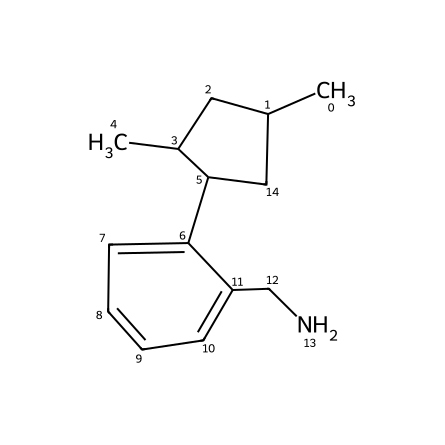 CC1CC(C)C(c2ccccc2CN)C1